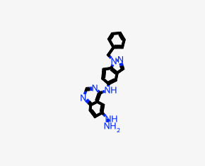 NNc1ccc2ncnc(Nc3ccc4c(cnn4Cc4ccccc4)c3)c2c1